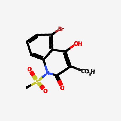 CS(=O)(=O)n1c(=O)c(C(=O)O)c(O)c2c(Br)cccc21